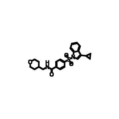 O=C(NCC1CCOCC1)c1ccc(S(=O)(=O)n2cc(C3CC3)c3ccccc32)cc1